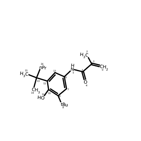 C=C(C)C(=O)Nc1cc(C(C)(C)C)c(O)c(C(C)(C)CCC)c1